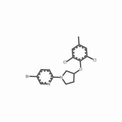 Cc1cc(Cl)c(OC2CCN(c3ccc(Br)cn3)C2)c(Cl)c1